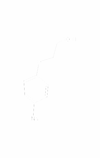 O=S(=O)(O)CCOc1cc[c]([Na])cc1